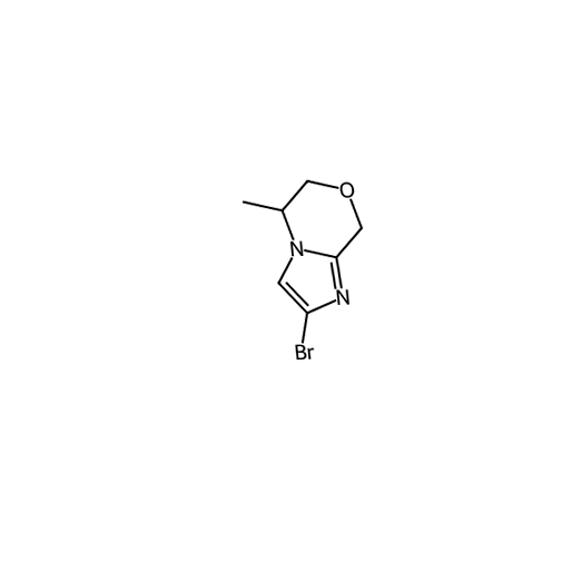 CC1COCc2nc(Br)cn21